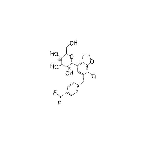 OCC1OC(c2cc(Cc3ccc(C(F)F)cc3)c(Cl)c3c2CCO3)[C@H](O)C(O)[C@@H]1O